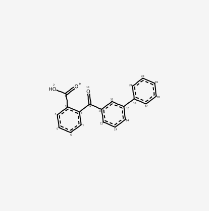 O=C(O)c1ccccc1C(=O)c1cccc(-c2ccccc2)c1